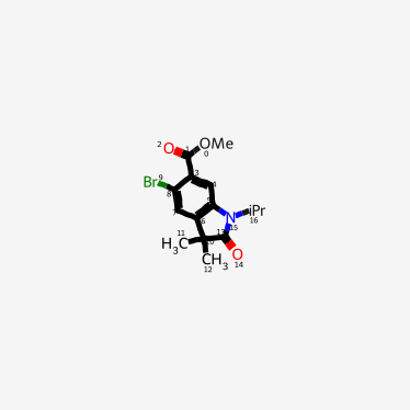 COC(=O)c1cc2c(cc1Br)C(C)(C)C(=O)N2C(C)C